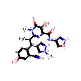 C[C@@H](c1nc(C(=O)Nc2cnoc2)c(O)c(=O)n1C)[C@@H](c1cnn(C)c1)c1ccc(O)cc1C#N